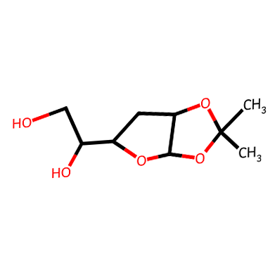 CC1(C)OC2CC(C(O)CO)OC2O1